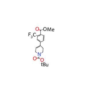 COC(=O)c1ccc(C2=CCN(C(=O)OC(C)(C)C)CC2)cc1C(F)(F)F